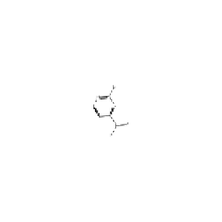 FC(F)c1ccnc(Br)n1